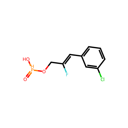 O=[PH](O)OC/C(F)=C/c1cccc(Cl)c1